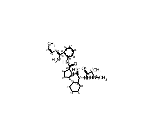 C=C([C@@H](NC(=O)[C@H](C)NC)C1CCCCC1)N1CCC[C@H]1C(=O)Nc1ccccc1/C(N)=N/C=C\C